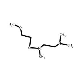 COCCON(C)CCN(C)C